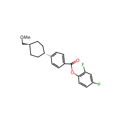 COC[C@H]1CC[C@H](c2ccc(C(=O)Oc3ccc(F)cc3F)cc2)CC1